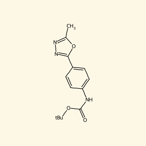 Cc1nnc(-c2ccc(NC(=O)OC(C)(C)C)cc2)o1